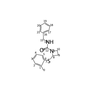 Cc1ccccc1SC1CCN1C(=O)NCc1ccccc1